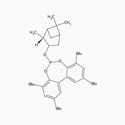 C[C@H]1C(Op2oc3c(C(C)(C)C)cc(C(C)(C)C)cc3c3cc(C(C)(C)C)cc(C(C)(C)C)c3o2)CC2CC1C2(C)C